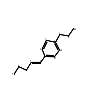 CCCC=Cc1ccc(CCC)cc1